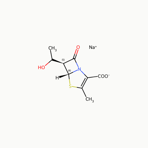 CC1=C(C(=O)[O-])N2C(=O)[C@H](C(C)O)[C@H]2S1.[Na+]